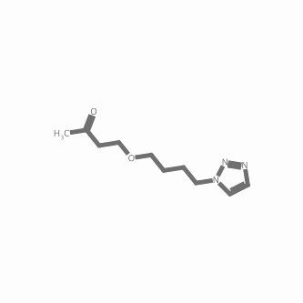 CC(=O)CCOCCCCn1ccnn1